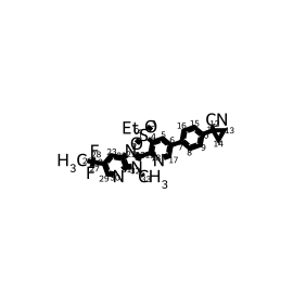 CCS(=O)(=O)c1cc(-c2ccc(C3(C#N)CC3)cc2)cnc1-c1nc2cc(C(C)(F)F)cnc2n1C